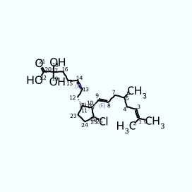 CC(C)=CCC(C)C/C=C/[C@@H]1[C@@H](C/C=C\CCC(O)(O)C(=O)O)CC[C@@H]1Cl